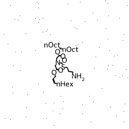 CCCCCC/C=C\COC(=O)CN(CC(=O)OC(CCCCCCCC)CCCCCCCC)C(=O)SCCCN